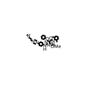 COOc1nc(Nc2ccc(N3CCN(CCCN(C)C)CC3)cc2)nc(Oc2ccccc2)c1C(=O)Nc1c(C)cccc1C